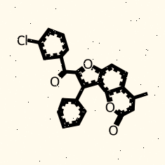 Cc1cc(=O)oc2c1ccc1oc(C(=O)c3cccc(Cl)c3)c(-c3ccccc3)c12